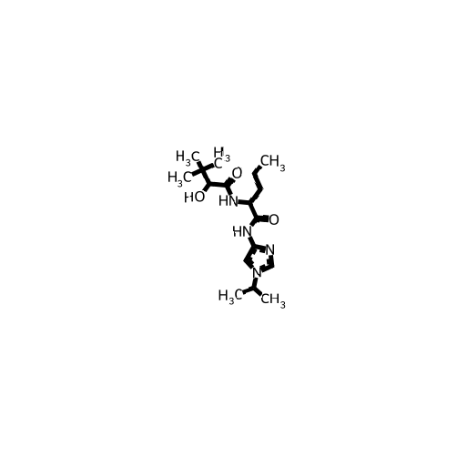 CCCC(NC(=O)C(O)C(C)(C)C)C(=O)Nc1cn(C(C)C)cn1